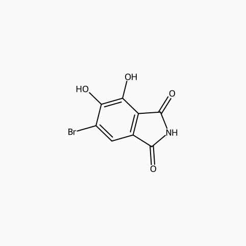 O=C1NC(=O)c2c1cc(Br)c(O)c2O